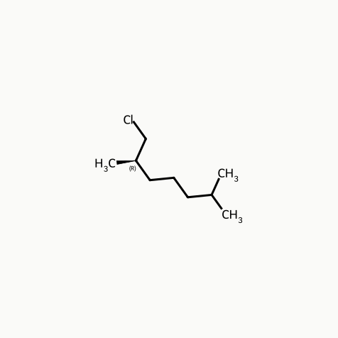 CC(C)CCC[C@@H](C)CCl